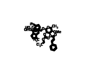 CO[C@H]1[C@@H](OC(=O)/C=C/c2ccccc2)[C@H](OC(=O)OCC(Cl)(Cl)Cl)[C@H](OCC23CC4C(C)CCC4C4(C=O)CC2C=C(C(C)C)C43C(=O)O)O[C@@H]1C